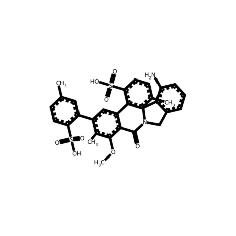 COc1c(C)c(-c2cc(C)ccc2S(=O)(=O)O)cc(-c2cc(C)ccc2S(=O)(=O)O)c1C(=O)N1Cc2cccc(N)c2C1